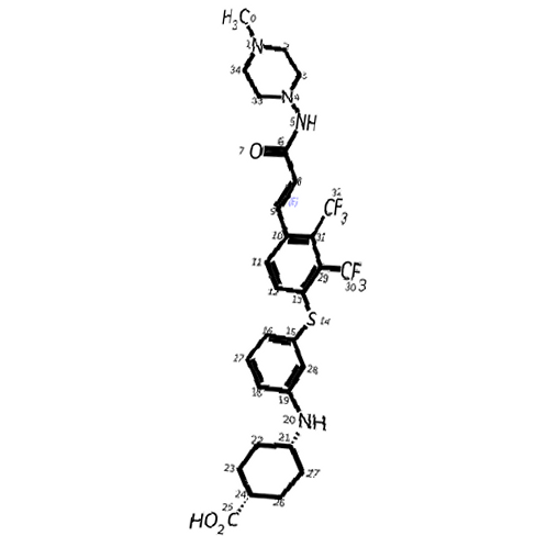 CN1CCN(NC(=O)/C=C/c2ccc(Sc3cccc(N[C@H]4CC[C@@H](C(=O)O)CC4)c3)c(C(F)(F)F)c2C(F)(F)F)CC1